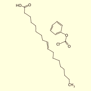 CCCCCCCC/C=C/CCCCCCCC(=O)O.O=C(Cl)Oc1ccccc1